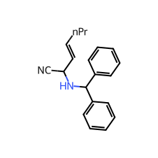 CCCC=CC(C#N)NC(c1ccccc1)c1ccccc1